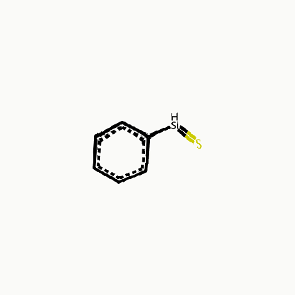 S=[SiH]c1ccccc1